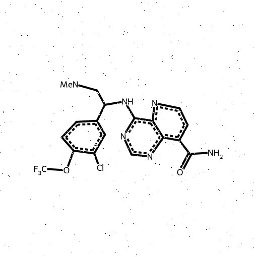 CNCC(Nc1ncnc2c(C(N)=O)ccnc12)c1ccc(OC(F)(F)F)c(Cl)c1